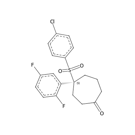 O=C1CCC[C@](c2cc(F)ccc2F)(S(=O)(=O)c2ccc(Cl)cc2)CC1